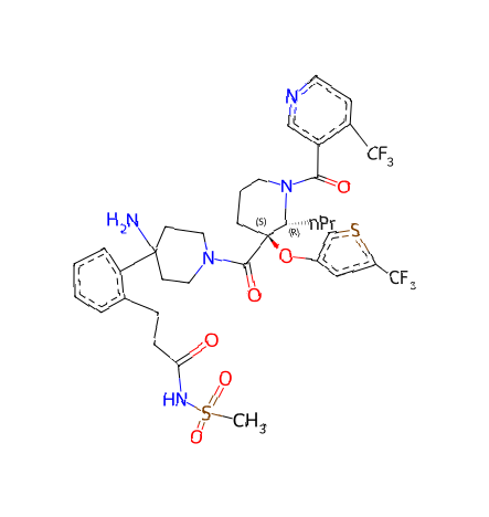 CCC[C@H]1N(C(=O)c2cnccc2C(F)(F)F)CCC[C@@]1(Oc1csc(C(F)(F)F)c1)C(=O)N1CCC(N)(c2ccccc2CCC(=O)NS(C)(=O)=O)CC1